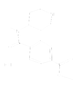 COC(=O)c1ccc(C(=O)N(C)C2CCNCC2)cc1.Cl